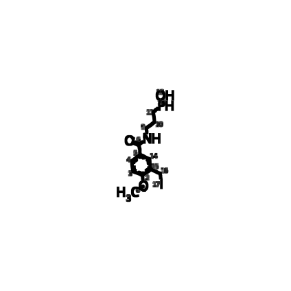 COc1ccc(C(=O)NCCCPO)cc1CI